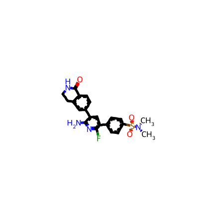 CN(C)S(=O)(=O)c1ccc(-c2cc(-c3ccc4c(c3)CCNC4=O)c(N)nc2F)cc1